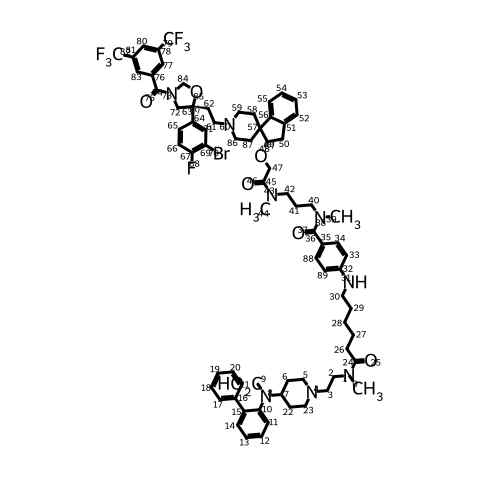 CN(CCN1CCC(N(C(=O)O)c2ccccc2-c2ccccc2)CC1)C(=O)CCCCCNc1ccc(C(=O)N(C)CCCN(C)C(=O)CO[C@H]2Cc3ccccc3C23CCN(CC[C@@]2(c4ccc(F)c(Br)c4)CN(C(=O)c4cc(C(F)(F)F)cc(C(F)(F)F)c4)CO2)CC3)cc1